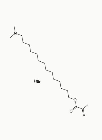 Br.C=C(C)C(=O)OCCCCCCCCCCCCCCN(C)C